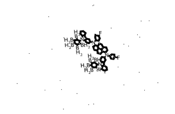 Bc1c(B)c(B)c(-n2c3ccccc3c3cc(N(c4ccc(F)cc4)c4ccc5ccc6c(N(c7ccc(F)cc7)c7ccc8c(c7)c7ccccc7n8-c7c(B)c(B)c(B)c(B)c7B)ccc7ccc4c5c76)ccc32)c(B)c1B